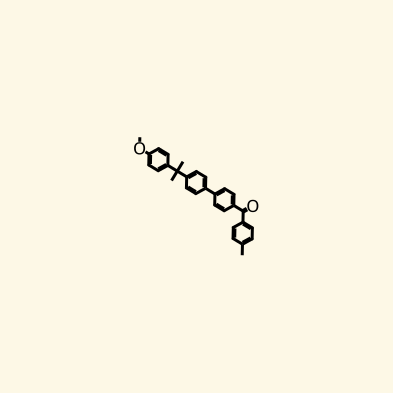 COc1ccc(C(C)(C)c2ccc(-c3ccc(C(=O)c4ccc(C)cc4)cc3)cc2)cc1